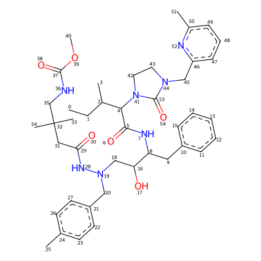 CCC(C)C(C(=O)NC(Cc1ccccc1)C(O)CN(Cc1ccc(C)cc1)NC(=O)CC(C)(C)CNC(=O)OC)N1CCN(Cc2cccc(C)n2)C1=O